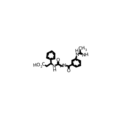 CC(=N)Nc1cccc(C(=O)NCC(=O)NC(CC(=O)O)c2ccccc2)c1